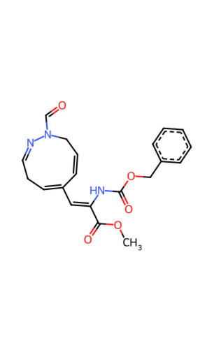 COC(=O)/C(=C/C1=CC/C=N\N(C=O)C/C=C\1)NC(=O)OCc1ccccc1